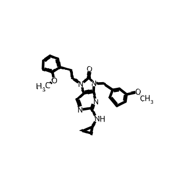 COc1cccc(Cn2c(=O)n(CCc3ccccc3OC)c3cnc(NC4CC4)nc32)c1